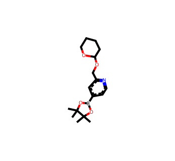 CC1(C)OB(c2ccnc(COC3CCCCO3)c2)OC1(C)C